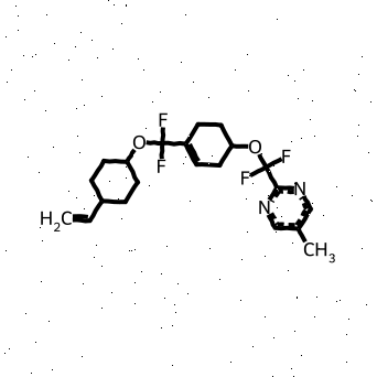 C=CC1CCC(OC(F)(F)C2=CCC(OC(F)(F)c3ncc(C)cn3)CC2)CC1